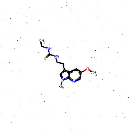 CCNC(=S)NCCc1cn(C)c2ncc(OC)cc12